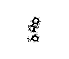 COC1=CC(Oc2ncnc3c2OC2=CCCCC23)CCC1